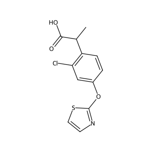 CC(C(=O)O)c1ccc(Oc2nccs2)cc1Cl